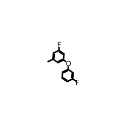 Cc1cc(F)cc(Oc2cccc(F)c2)c1